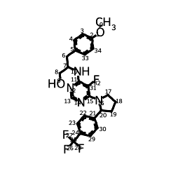 COc1ccc(CC(CO)Nc2ncnc(N3CCCC3c3ccc(C(F)(F)F)cc3)c2F)cc1